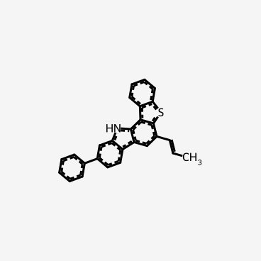 C/C=C/c1cc2c3ccc(-c4ccccc4)cc3[nH]c2c2c1sc1ccccc12